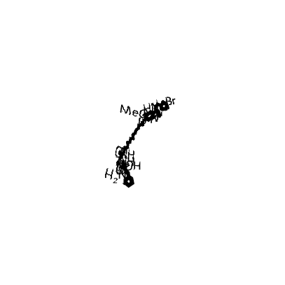 COc1cc2c(N[C@H](C)c3cccc(Br)c3)nc(C)nc2cc1OCCCCCCCCCCCCNC(=O)[C@H](CC(C)C)NC(=O)[C@@H](O)[C@H](N)Cc1ccccc1